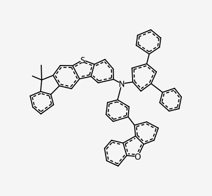 CC1(C)c2ccccc2-c2cc3c(cc21)sc1ccc(N(c2cc(-c4ccccc4)cc(-c4ccccc4)c2)c2cccc(-c4cccc5oc6ccccc6c45)c2)cc13